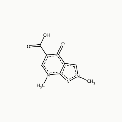 Cn1cc2c(=O)c(C(=O)O)cn(C)c2n1